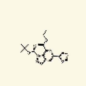 C=C(OCC)c1nc(-c2cncs2)cc2cnn(C(=O)OC(C)(C)C)c12